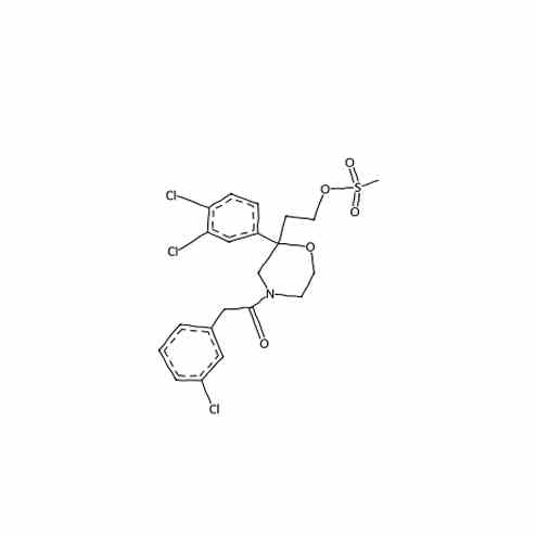 CS(=O)(=O)OCCC1(c2ccc(Cl)c(Cl)c2)CN(C(=O)Cc2cccc(Cl)c2)CCO1